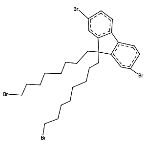 BrCCCCCCCCC1(CCCCCCCCBr)c2cc(Br)ccc2-c2ccc(Br)cc21